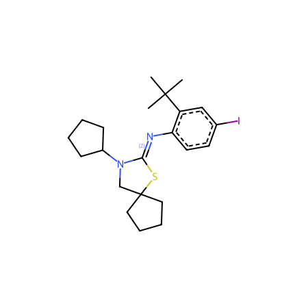 CC(C)(C)c1cc(I)ccc1/N=C1\SC2(CCCC2)CN1C1CCCC1